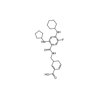 O=C(O)C1=CC(CNC(=O)c2cc(F)c(NC3CCCCC3)cc2NC2CCCC2)CC=C1